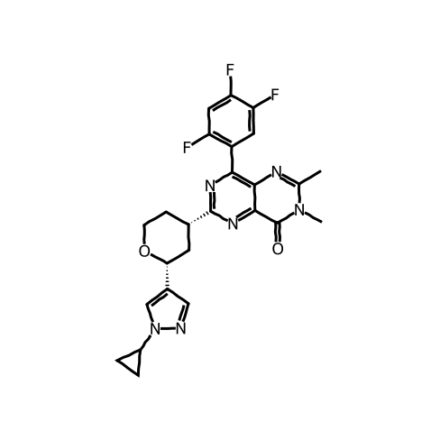 Cc1nc2c(-c3cc(F)c(F)cc3F)nc([C@H]3CCO[C@@H](c4cnn(C5CC5)c4)C3)nc2c(=O)n1C